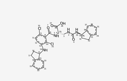 O=C(NC[C@H](NC(=O)c1c(Cl)ccc(NC2CCc3ccccc32)c1Cl)C(=O)O)N[C@@H]1CCc2ccccc21